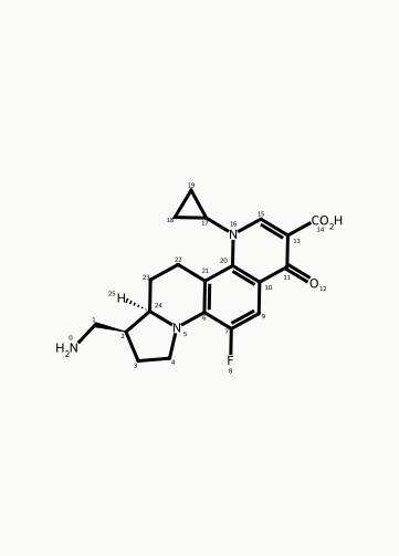 NC[C@@H]1CCN2c3c(F)cc4c(=O)c(C(=O)O)cn(C5CC5)c4c3CC[C@H]12